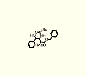 COC(COCc1ccccc1)C(N[S@+]([O-])C(C)(C)C)C(O)c1ccccn1